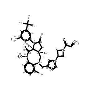 C=CC(=O)N1CC(n2cnc(CN3C[C@H]4CC(=O)N(c5cc(C(F)(F)F)cc(C)n5)[C@@H]4C(=O)N(C)c4cccc(F)c43)c2)C1